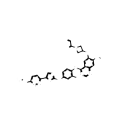 C=CC(=O)N1CC(Oc2cc3c(Nc4ccc(Oc5nc(-c6ccc(OC)nn6)cs5)cc4F)ncnc3cc2OC)C1